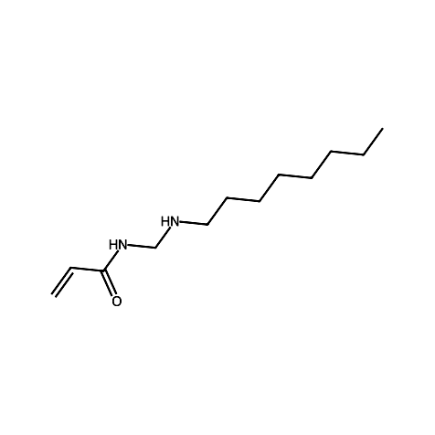 C=CC(=O)NCNCCCCCCCC